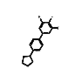 Fc1cc(-c2ccc(C3CCCC3)cc2)cc(F)c1F